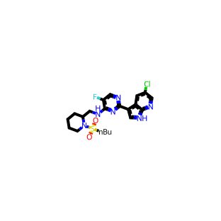 CCCCS(=O)(=O)N1CCCCC1CNc1nc(-c2c[nH]c3ncc(Cl)cc23)ncc1F